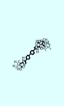 C[C@@H](c1ncc(-c2ccc(-c3ccc(-c4cnc([C@H](C)N(C(=O)O)C(C(C)(C)C)C(C)(C)C)[nH]4)cc3)cc2)[nH]1)N(C)C(=O)O